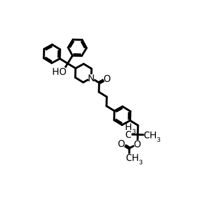 CC(=O)OC(C)(C)Cc1ccc(CCCC(=O)N2CCC(C(O)(c3ccccc3)c3ccccc3)CC2)cc1